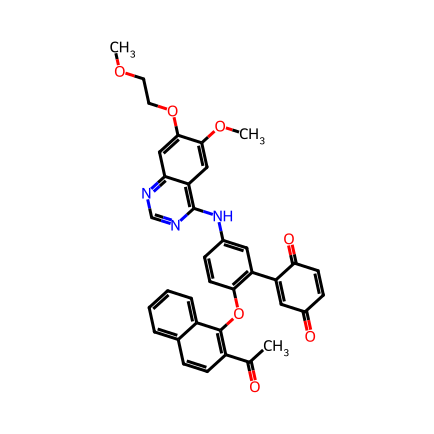 COCCOc1cc2ncnc(Nc3ccc(Oc4c(C(C)=O)ccc5ccccc45)c(C4=CC(=O)C=CC4=O)c3)c2cc1OC